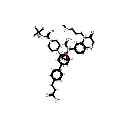 COCCCN1C(=O)COc2ccc(N(C(=O)[C@H]3CN(C(=O)OC(C)(C)C)CC[C@@H]3c3cccc(-c4ccc(CCC(=O)O)cc4)c3)C3CC3)cc21